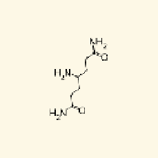 NC(=O)CCC(N)CCC(N)=O